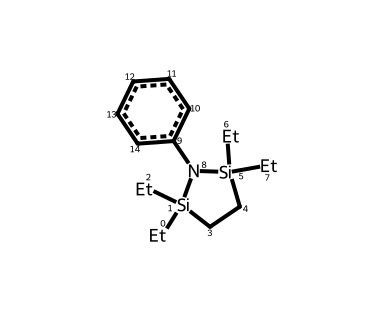 CC[Si]1(CC)CC[Si](CC)(CC)N1c1ccccc1